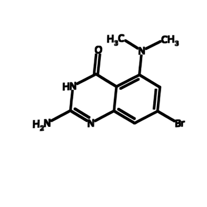 CN(C)c1cc(Br)cc2nc(N)[nH]c(=O)c12